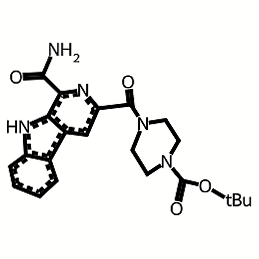 CC(C)(C)OC(=O)N1CCN(C(=O)c2cc3c([nH]c4ccccc43)c(C(N)=O)n2)CC1